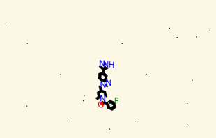 CC1CC(Cn2cnc3cc(-c4cn[nH]c4)ccc32)CCN1C(=O)c1cccc(F)c1